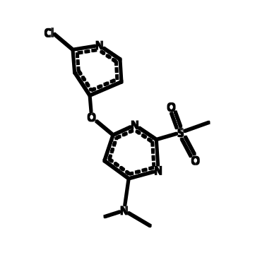 CN(C)c1cc(Oc2ccnc(Cl)c2)nc(S(C)(=O)=O)n1